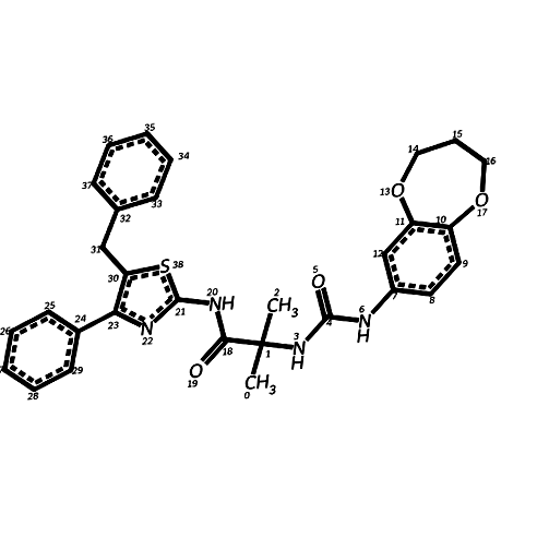 CC(C)(NC(=O)Nc1ccc2c(c1)OCCCO2)C(=O)Nc1nc(-c2ccccc2)c(Cc2ccccc2)s1